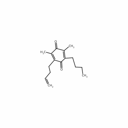 C=CCCC1=C(C)C(=O)C(C)=C(CCCC)C1=O